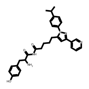 CC(C)c1ccc(-n2nc(-c3cccnc3)cc2CCCCC(=O)NC(=O)C(N)Cc2ccc(O)cc2)cc1